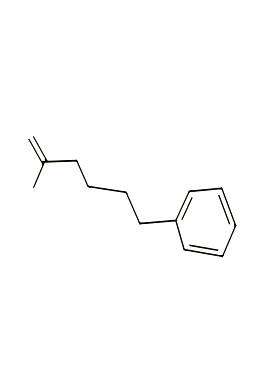 O=C(S)CCCCc1ccccc1